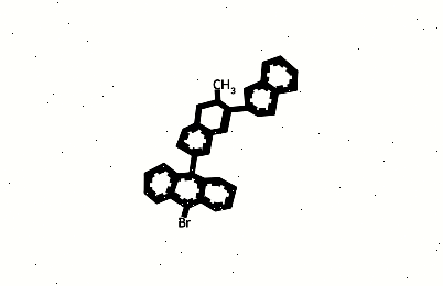 CC1Cc2ccc(-c3c4ccccc4c(Br)c4ccccc34)cc2C=C1c1ccc2ccccc2c1